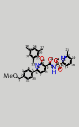 COCc1ccc(-c2ccc(C(=O)NS(=O)(=O)c3cccc(C)n3)c(Oc3c(C)cc(C)cc3C)n2)cc1